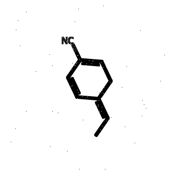 CC=C1C=CC(C#N)=CC1